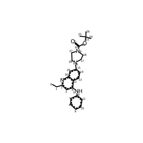 CCc1cc(Nc2ccccc2)c2ccc(N3CCN(C(=O)OC(C)(C)C)CC3)cc2n1